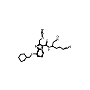 [N-]=[N+]=NCCC(CN=O)NC(=O)c1c(CN=[N+]=[N-])nc2c(OCC3CCCCC3)cccn12